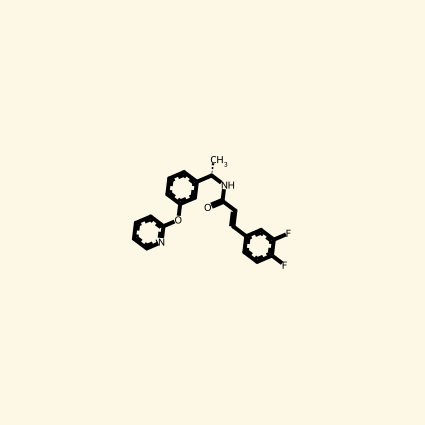 C[C@H](NC(=O)/C=C/c1ccc(F)c(F)c1)c1cccc(Oc2ccccn2)c1